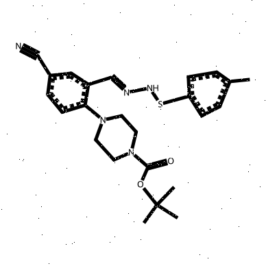 Cc1ccc(SN/N=C/c2cc(C#N)ccc2N2CCN(C(=O)OC(C)(C)C)CC2)cc1